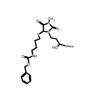 CCCCCCC(O)CCN1C(=O)N(C)C(=O)C1SCCCCNC(=O)OCc1ccccc1